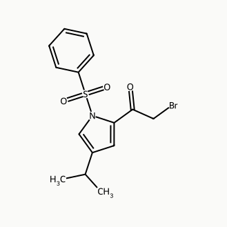 CC(C)c1cc(C(=O)CBr)n(S(=O)(=O)c2ccccc2)c1